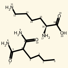 CCCCC(C(N)=O)C(N)=O.NCCCC[C@H](N)C(=O)O